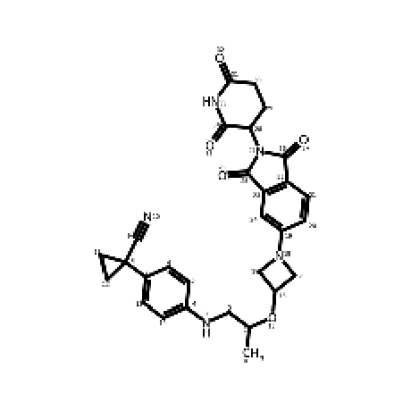 CC(CNc1ccc(C2(C#N)CC2)cc1)OC1CN(c2ccc3c(c2)C(=O)N(C2CCC(=O)NC2=O)C3=O)C1